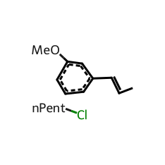 CC=Cc1cccc(OC)c1.CCCCCCl